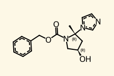 C[C@@]1(n2ccnc2)C[C@@H](O)CN1C(=O)OCc1ccccc1